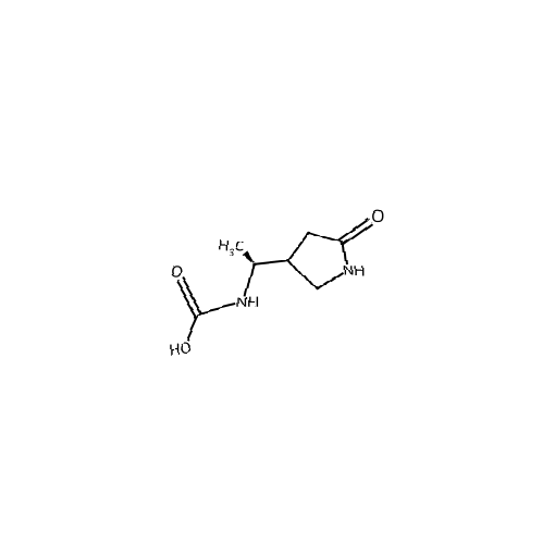 C[C@H](NC(=O)O)C1CNC(=O)C1